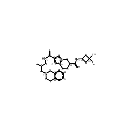 C=C(NCC(C)CN1CCc2ccccc2C1)c1cn2c(n1)CCC(C(=C)NC1CC(F)(F)C1)C2